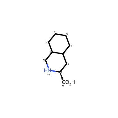 O=C(O)[C@@H]1CC2CCCCC2CN1